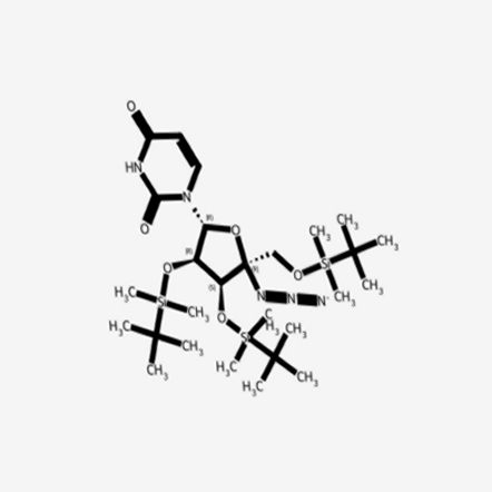 CC(C)(C)[Si](C)(C)OC[C@@]1(N=[N+]=[N-])O[C@@H](n2ccc(=O)[nH]c2=O)[C@H](O[Si](C)(C)C(C)(C)C)[C@@H]1O[Si](C)(C)C(C)(C)C